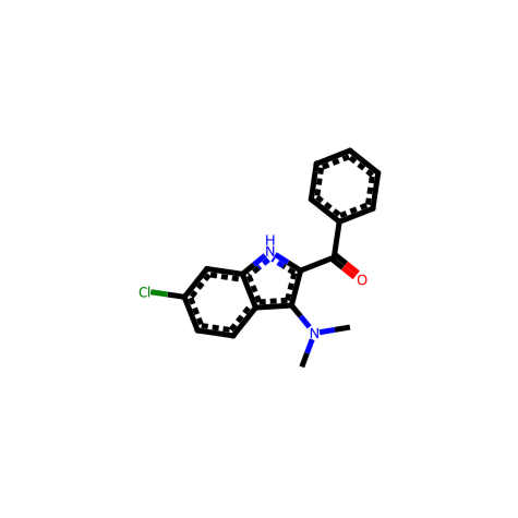 CN(C)c1c(C(=O)c2ccccc2)[nH]c2cc(Cl)ccc12